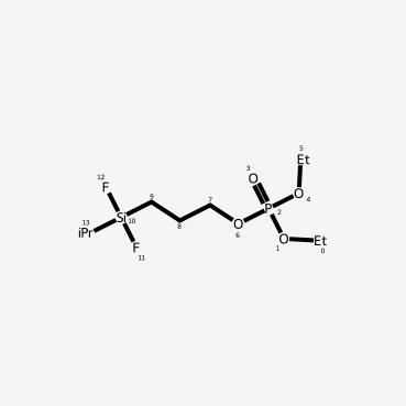 CCOP(=O)(OCC)OCCC[Si](F)(F)C(C)C